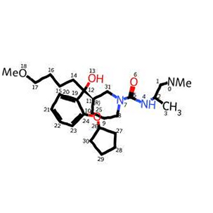 CNCC(C)NC(=O)N1CCC[C@@H](C(O)(CCCCOC)c2ccccc2OC2CCCC2)C1